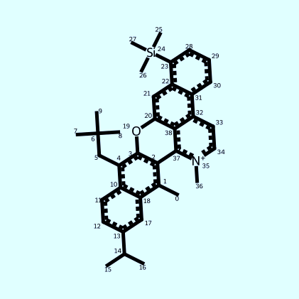 Cc1c2c(c(CC(C)(C)C)c3ccc(C(C)C)cc13)Oc1cc3c([Si](C)(C)C)cccc3c3cc[n+](C)c-2c13